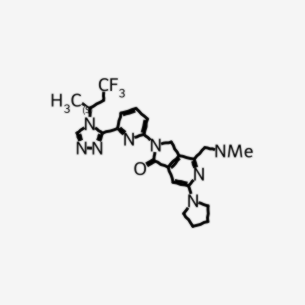 CNCc1nc(N2CCCC2)cc2c1CN(c1cccc(-c3nncn3[C@@H](C)CC(F)(F)F)n1)C2=O